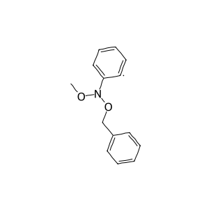 CON(OCc1ccccc1)c1[c]cccc1